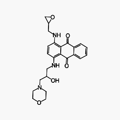 O=C1c2ccccc2C(=O)c2c(NCC3CO3)ccc(NCC(O)CN3CCOCC3)c21